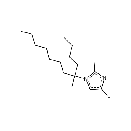 CCCCCCCC(C)(CCCC)n1cc(F)nc1C